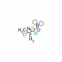 Cc1nc2sc(C(=O)N3C4(CCCCC4)C34CCCCC4)c(Cl)c2c(C)c1Cl